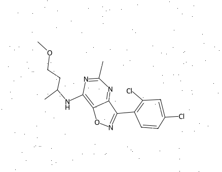 COCCC(C)Nc1nc(C)nc2c(-c3ccc(Cl)cc3Cl)noc12